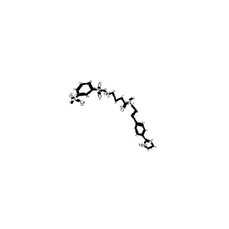 CN(CCc1ccc(C2=NCCN2)cc1)C(=O)CCCNCS(=O)(=O)c1cccc(S(C)(=O)=O)c1